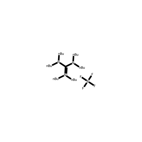 CCCCN(CCCC)C(N(CCCC)CCCC)=[N+](CCCC)CCCC.F[B-](F)(F)F